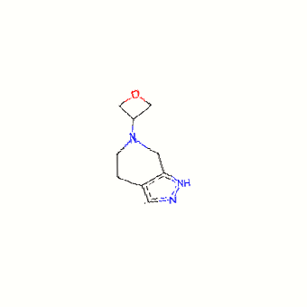 [c]1n[nH]c2c1CCN(C1COC1)C2